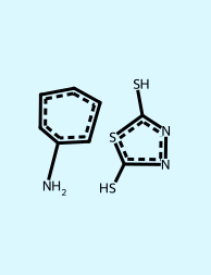 Nc1ccccc1.Sc1nnc(S)s1